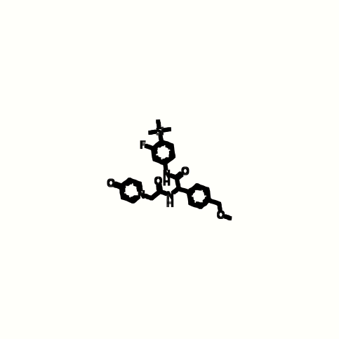 COCc1ccc(C(NC(=O)Cn2ccc(=O)cc2)C(=O)Nc2ccc([Si](C)(C)C)c(F)c2)cc1